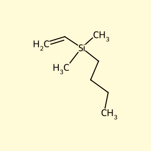 C=C[Si](C)(C)CCCC